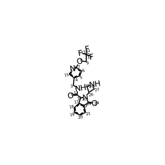 O=C(NCc1ccc(OCC(F)(F)F)nc1)C1c2ccccc2C(=O)N1C1CNC1